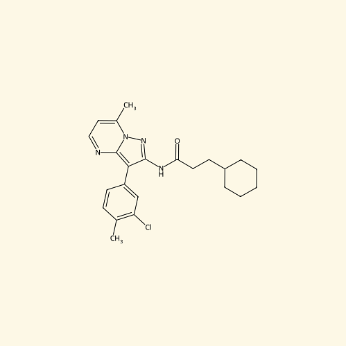 Cc1ccc(-c2c(NC(=O)CCC3CCCCC3)nn3c(C)ccnc23)cc1Cl